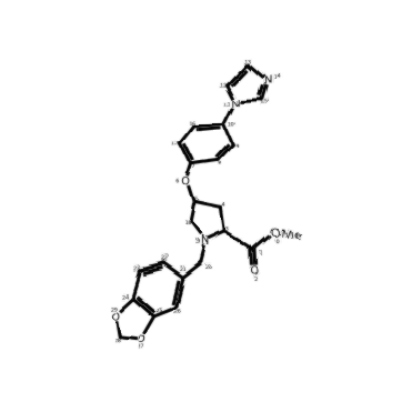 COC(=O)C1CC(Oc2ccc(-n3ccnc3)cc2)CN1Cc1ccc2c(c1)OCO2